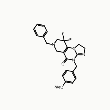 COc1ccc(CN2C(=O)C3=C(N4CCN=C24)C(F)(F)CN(Cc2ccccc2)C3)cc1